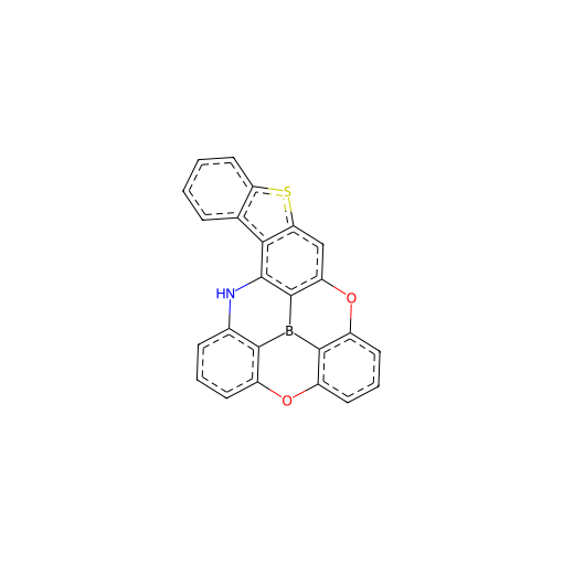 c1cc2c3c(c1)Oc1cccc4c1B3c1c(cc3sc5ccccc5c3c1N2)O4